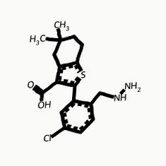 CC1(C)CCc2sc(-c3cc(Cl)ccc3CNN)c(C(=O)O)c2C1